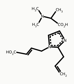 C=CCc1nccn1CC=CC(=O)O.CC(C(=O)O)N(C)C